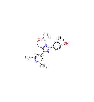 Cc1cc(-c2nc(-c3ccc(O)c(C)c3)n3c2CCOC(C)C3)cc(C)n1